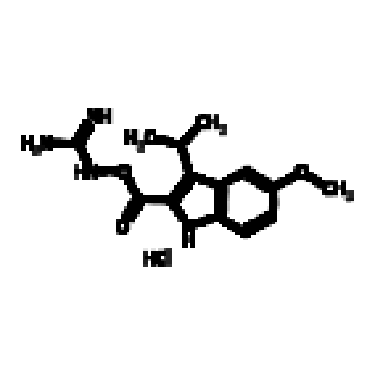 COc1ccc2[nH]c(C(=O)ONC(=N)N)c(C(C)C)c2c1.Cl